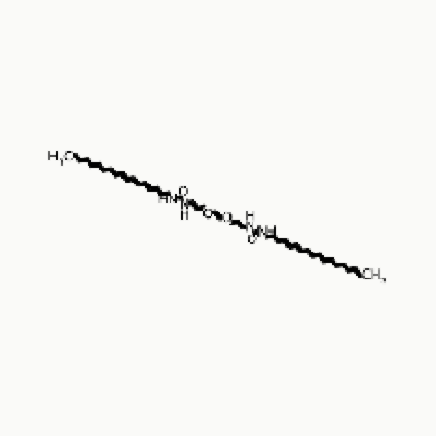 CCCCCCCCCCCCCCCCCCNC(=O)NCCCOCCOCCCNC(=O)NCCCCCCCCCCCCCCCCCC